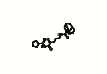 O=C(NCCCc1nnc(C2CCCC2)[nH]c1=O)C12CC3CC(CC(C3)C1)C2